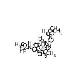 C=N/C(Oc1c(C)ccc2c(NC[C@H](OC)C(F)(F)F)cccc12)=C(\C=C/C)c1ccnc(N[C@H]2CCCN(C(=O)OC(C)(C)C)C2)n1